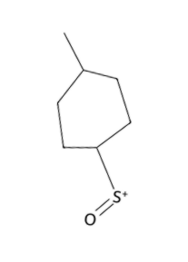 CC1CCC([S+]=O)CC1